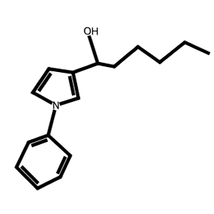 CCCCCC(O)c1ccn(-c2ccccc2)c1